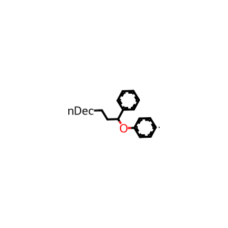 CCCCCCCCCCCCC(Oc1cc[c]cc1)c1ccccc1